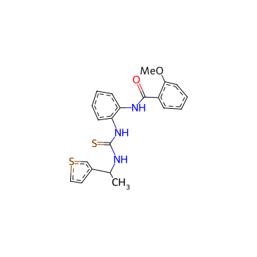 COc1ccccc1C(=O)Nc1ccccc1NC(=S)NC(C)c1ccsc1